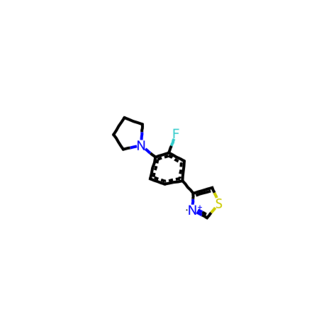 Fc1cc(C2=CSC=[N+]2)ccc1N1CCCC1